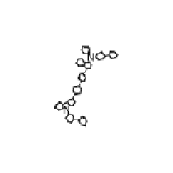 c1ccc(-c2ccc(N(c3ccccc3)c3ccc(-c4ccc(-c5ccc(-c6ccc7c(c6)c6ccccc6n7-c6cccc(-c7ccccc7)c6)cc5)cc4)c4ccccc34)cc2)cc1